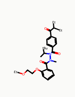 CCOCCOc1ccccc1C(=O)N(C)N(C(=O)c1ccc(C(=O)C(CC)CC)cc1)C(C)C(C)(C)C